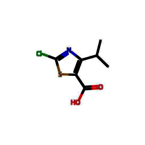 CC(C)c1nc(Cl)sc1C(=O)O